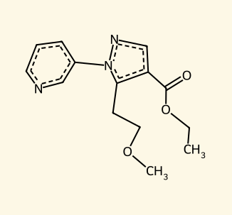 CCOC(=O)c1cnn(-c2cccnc2)c1CCOC